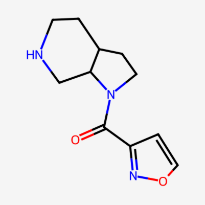 O=C(c1ccon1)N1CCC2CCNCC21